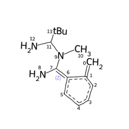 C=c1cccc/c1=C(\N)N(C)C(N)C(C)(C)C